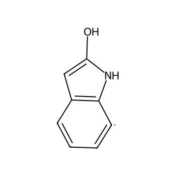 Oc1cc2ccc[c]c2[nH]1